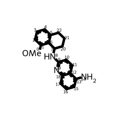 COc1cccc2c1C(Nc1ccc3c(N)cccc3n1)CCC2